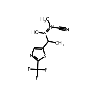 CC(c1cnc(C(F)(F)F)s1)S(O)=[N+](C)C#N